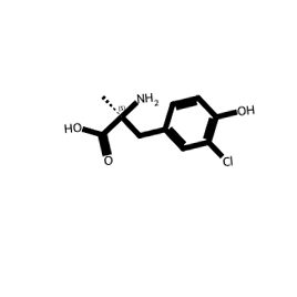 C[C@](N)(Cc1ccc(O)c(Cl)c1)C(=O)O